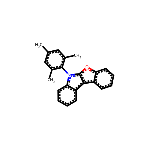 Cc1cc(C)c(-n2c3ccccc3c3c4ccccc4oc32)c(C)c1